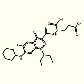 CCC(CC)n1nc(C(=O)N[C@@H](CCC(=O)O)C(=O)O)c(=O)c2cc(F)c(NC3CCCCC3)cc21